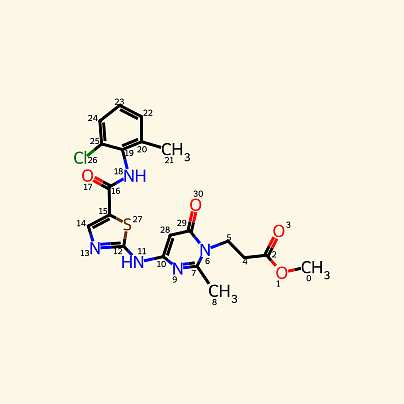 COC(=O)CCn1c(C)nc(Nc2ncc(C(=O)Nc3c(C)cccc3Cl)s2)cc1=O